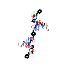 CN[C@@H](C)C(=O)N[C@@H](CCC(=O)NCc1ccc(CNC(=O)CC[C@H](NC(=O)N(C)C)C(=O)N2CCC[C@H]2CN(CCc2ccccc2)C(=O)C(F)(F)F)cc1)C(=O)N1CCC[C@H]1CN(CCc1ccccc1)C(=O)C(F)(F)F